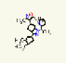 Cc1cc(-c2nn([C@@H](C)c3ccccn3)c3cc(-c4c(C)noc4C)ccc23)ccc1C(=O)O